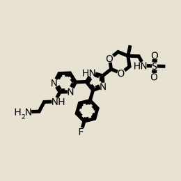 CC1(CNS(C)(=O)=O)COC(c2nc(-c3ccc(F)cc3)c(-c3ccnc(NCCN)n3)[nH]2)OC1